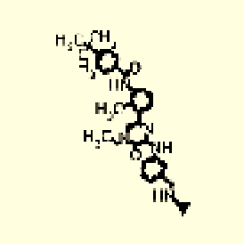 CCn1cc(-c2cccc(NC(=O)c3ccc(C(C)(C)C)cc3)c2C)nc(Nc2cccc(CNC3CC3)c2)c1=O